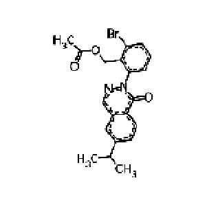 CC(=O)OCc1c(Br)cccc1-n1ncc2cc(C(C)C)ccc2c1=O